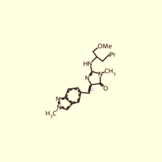 COCC(CC(C)C)NC1=N/C(=C\c2ccc3nn(C)cc3c2)C(=O)N1C